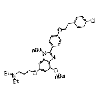 CCCCOc1cc(OCCCN(CC)CC)cc2c1nc(-c1ccc(OCCc3ccc(Cl)cc3)cc1)n2CCCC